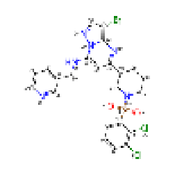 O=S(=O)(c1cccc(Cl)c1Cl)N1CCCC(c2cc(NCc3cccnc3)n3ncc(Br)c3n2)C1